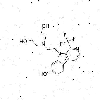 OCCN(CCO)CCn1c2cc(O)ccc2c2ccnc(C(F)(F)F)c21